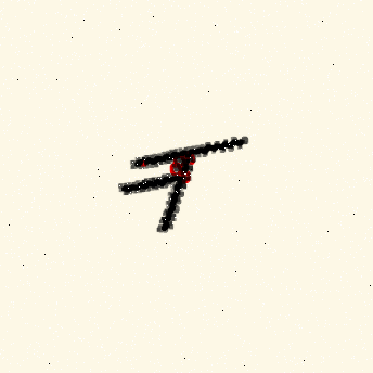 CCCCCCCCCCCCCC(CCCCCCCCCCCC)OC(=O)CC(=O)OC(CCCCCCCCCCCC)CCCCCCCCCCCCC